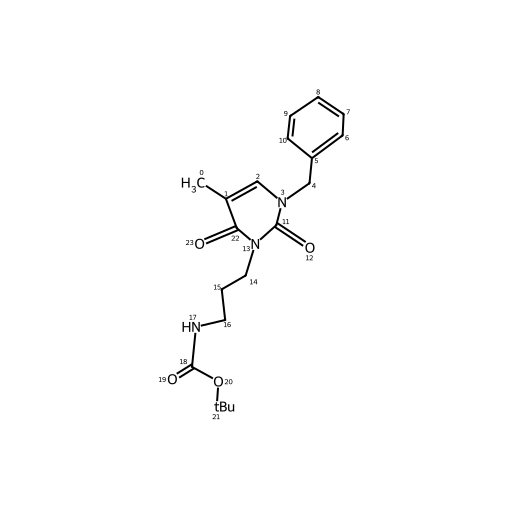 Cc1cn(Cc2ccccc2)c(=O)n(CCCNC(=O)OC(C)(C)C)c1=O